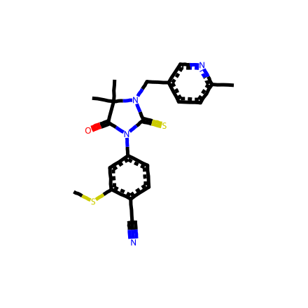 CSc1cc(N2C(=O)C(C)(C)N(Cc3ccc(C)nc3)C2=S)ccc1C#N